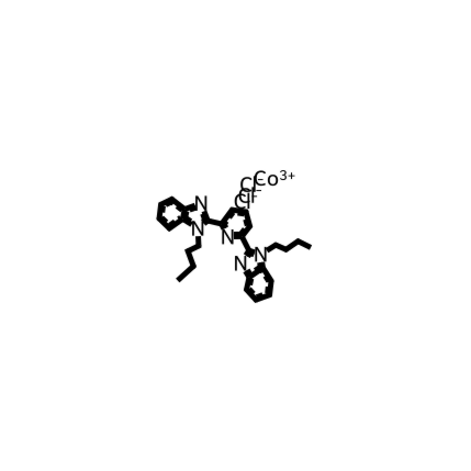 CCCCn1c(-c2cccc(-c3nc4ccccc4n3CCCC)n2)nc2ccccc21.[Cl-].[Cl-].[Cl-].[Co+3]